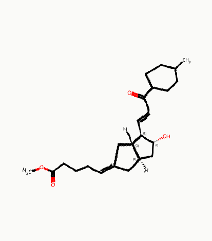 COC(=O)CCCC=C1C[C@@H]2C[C@@H](O)[C@H](C=CC(=O)C3CCC(C)CC3)[C@H]2C1